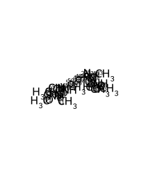 COC(=O)NC(C(=O)N1C[C@@H](C)C[C@H]1c1ncc(-c2ccc(-c3ccc(-c4cnc([C@@H]5C[C@H](C)CN5C(=O)C(NC(=O)OC)C(C)C)[nH]4)cc3)cc2)[nH]1)C(C)C